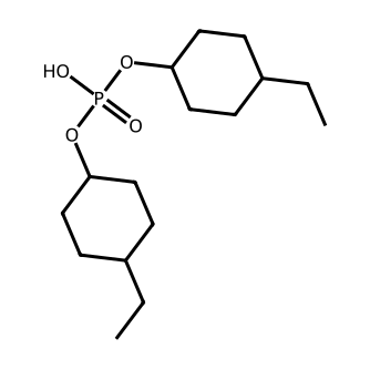 CCC1CCC(OP(=O)(O)OC2CCC(CC)CC2)CC1